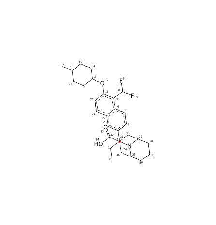 CCC(c1ccc2c(C(F)F)c(OC3CCC(C)CC3)ccc2c1)N1C2CCCC1CC(C(=O)O)C2